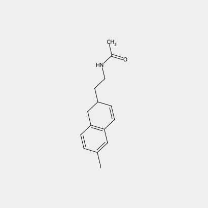 CC(=O)NCCC1C=Cc2cc(I)ccc2C1